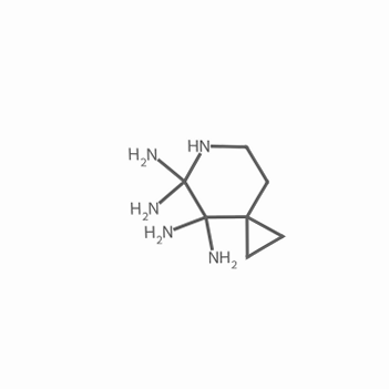 NC1(N)NCCC2(CC2)C1(N)N